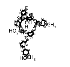 Cc1c(Cl)c2c(Cl)c(C)c1-c1c(-c3ccc(F)cc3)sc3ncnc(c13)O[C@@H](C(=O)O)Cc1cc(ccc1OCc1ccnc([C@H]3CC[C@@](C)(O)CC3)n1)OC[C@@H](CN1CCN(C)CC1)O2